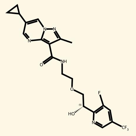 Cc1nn2cc(C3CC3)cnc2c1C(=O)NCCOC[C@@H](O)c1ncc(C(F)(F)F)cc1F